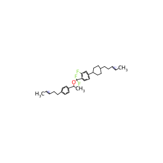 C/C=C/CCc1ccc(C(C)OC(F)(F)c2ccc(C3CCC(CC/C=C/C)CC3)cc2F)cc1